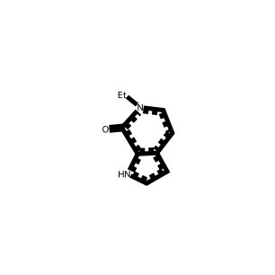 CCn1ccc2cc[nH]c2c1=O